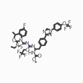 CCn1s/c(=N\C(=N\C(Cc2ccc(-c3ncn(-c4ccc(OC(F)(F)F)cc4)n3)cc2)NC(=O)OC)OCC(F)(F)F)n(-c2ccc(F)cc2C(C)C)c1=O